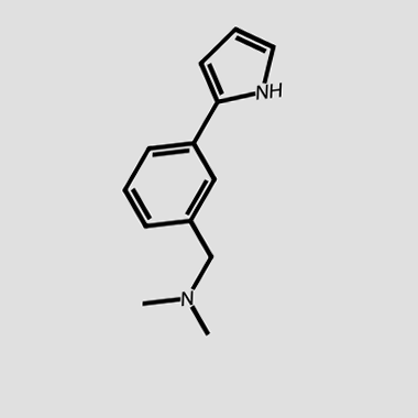 CN(C)Cc1cccc(-c2ccc[nH]2)c1